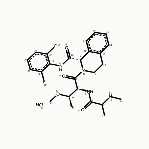 CNC(C)C(=O)N[C@H](C(=O)N1CCc2ccccc2[C@H]1C(=O)Nc1c(F)cccc1F)[C@@H](C)OC.Cl